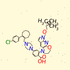 C[Si](C)(C)CCOCn1ccc2cc3c(nc21)OCCCN3c1cc(N2CCN(CC3=C(c4ccc(Cl)cc4)CCCCC3)CC2)ccc1C(=O)O